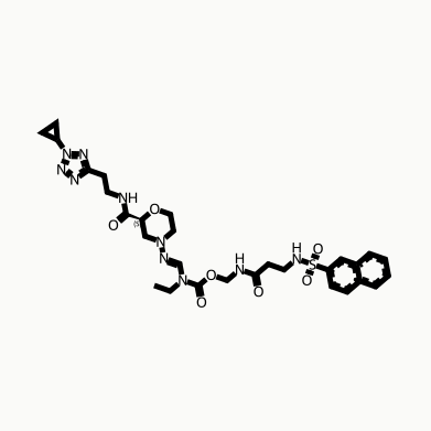 CCN(C=NN1CCO[C@H](C(=O)NCCc2nnn(C3CC3)n2)C1)C(=O)OCNC(=O)CCNS(=O)(=O)c1ccc2ccccc2c1